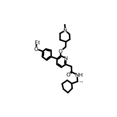 CCOc1ccc(-c2ccc(CC(=O)N[C@H](C)C3CCCCC3)nc2OCC2CCN(C)CC2)cc1